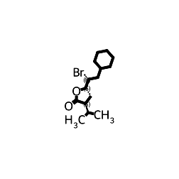 CC(C)[C@@H]1C[C@@H]([C@H](Br)CC2CCCCC2)OC1=O